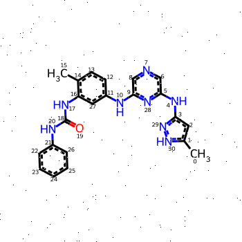 Cc1cc(Nc2cncc(Nc3ccc(C)c(NC(=O)Nc4ccccc4)c3)n2)n[nH]1